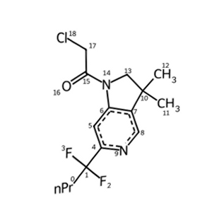 CCCC(F)(F)c1cc2c(cn1)C(C)(C)CN2C(=O)CCl